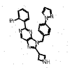 CC(C)c1ccccc1-c1ncc2nc(C3CNC3)n(Cc3ccc(-n4cccn4)cc3)c2n1